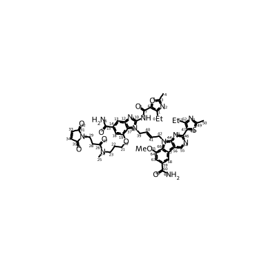 CCc1nc(C)oc1C(=O)Nc1nc2cc(C(N)=O)cc(OCCCN(C)C(=O)CCN3C(=O)C=CC3=O)c2n1C/C=C/Cn1c2nc(-c3sc(C)nc3CC)ncc2c2cc(C(N)=O)cc(OC)c21